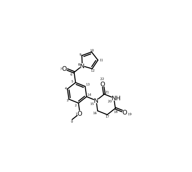 COc1ccc(C(=O)n2cccc2)cc1N1CCC(=O)NC1=O